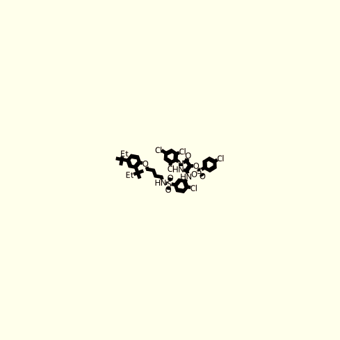 CCC(C)(C)c1ccc(OCCCCNS(=O)(=O)c2ccc(Cl)c(Nc3[nH]n(-c4c(Cl)cc(Cl)cc4Cl)c(=O)c3OS(=O)(=O)c3ccc(Cl)cc3)c2)c(C(C)(C)CC)c1